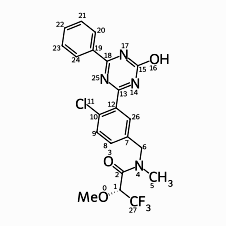 CO[C@H](C(=O)N(C)Cc1ccc(Cl)c(-c2nc(O)nc(-c3ccccc3)n2)c1)C(F)(F)F